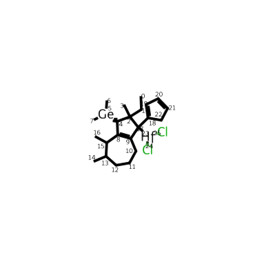 CCC1(C)[C](=[Ge]([CH3])[CH3])C2=C(CCCC(C)C2C)[C]1(C1=CC=CC1)[Hf]([Cl])[Cl]